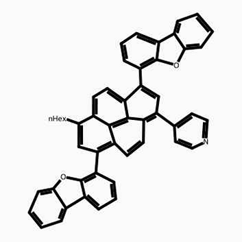 CCCCCCc1cc(-c2cccc3c2oc2ccccc23)c2ccc3c(-c4ccncc4)cc(-c4cccc5c4oc4ccccc45)c4ccc1c2c34